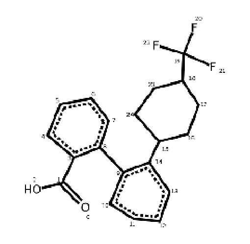 O=C(O)c1ccccc1-c1ccccc1C1CCC(C(F)(F)F)CC1